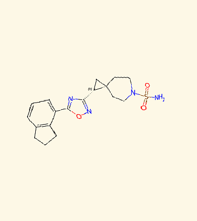 NS(=O)(=O)N1CCC2(CC1)C[C@H]2c1noc(-c2cccc3c2CCC3)n1